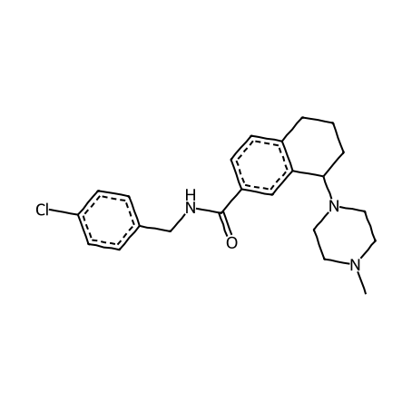 CN1CCN(C2CCCc3ccc(C(=O)NCc4ccc(Cl)cc4)cc32)CC1